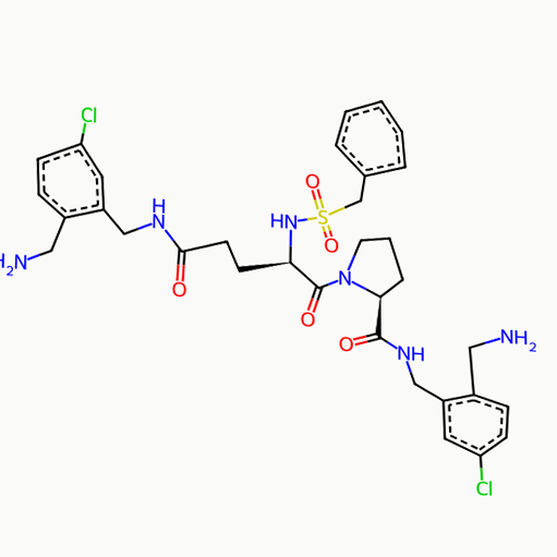 NCc1ccc(Cl)cc1CNC(=O)CC[C@@H](NS(=O)(=O)Cc1ccccc1)C(=O)N1CCC[C@H]1C(=O)NCc1cc(Cl)ccc1CN